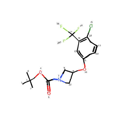 CC(C)(C)OC(=O)N1CC(Oc2ccc(Cl)c(C(F)(F)F)c2)C1